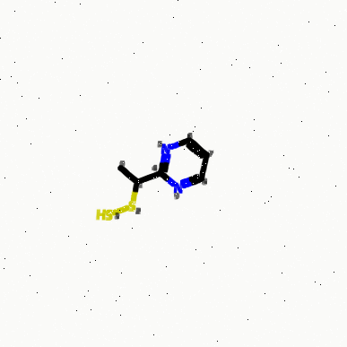 CC(SS)c1ncccn1